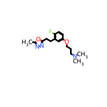 Cc1nnc(CCc2cc(OCCCN(C)C)ccc2F)o1